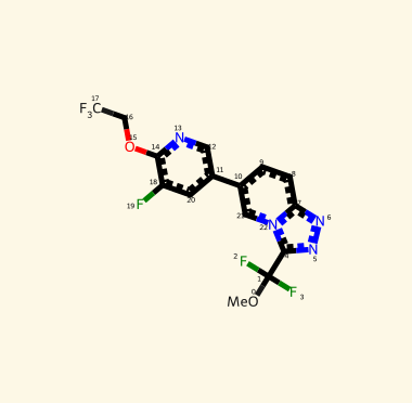 COC(F)(F)c1nnc2ccc(-c3cnc(OCC(F)(F)F)c(F)c3)cn12